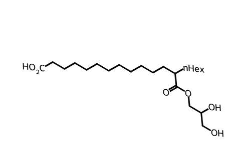 CCCCCCC(CCCCCCCCCCCC(=O)O)C(=O)OCC(O)CO